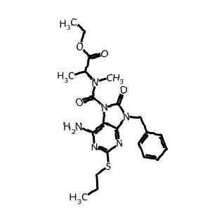 CCCSc1nc(N)c2c(n1)n(Cc1ccccc1)c(=O)n2C(=O)N(C)C(C)C(=O)OCC